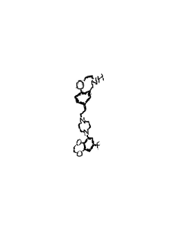 Fc1cc2c(c(N3CCN(CCc4ccc5c(c4)NCCO5)CC3)c1)OCCO2